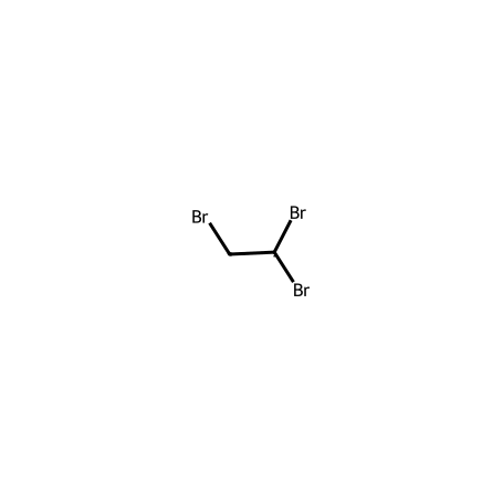 BrC[C](Br)Br